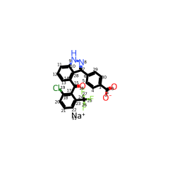 O=C([O-])c1ccc(-c2n[nH]c3cccc(C(=O)c4c(Cl)cccc4C(F)(F)F)c23)cc1.[Na+]